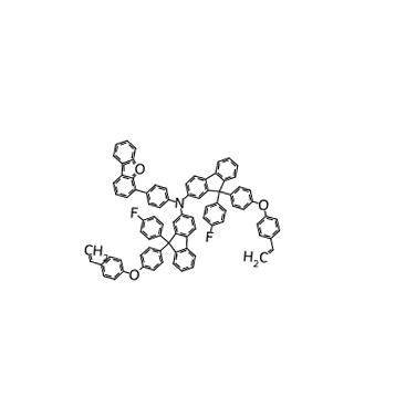 C=Cc1ccc(Oc2ccc(C3(c4ccc(F)cc4)c4ccccc4-c4ccc(N(c5ccc(-c6cccc7c6oc6ccccc67)cc5)c5ccc6c(c5)C(c5ccc(F)cc5)(c5ccc(Oc7ccc(C=C)cc7)cc5)c5ccccc5-6)cc43)cc2)cc1